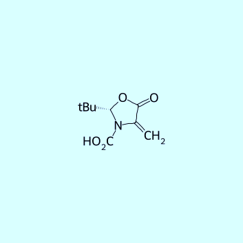 C=C1C(=O)O[C@@H](C(C)(C)C)N1C(=O)O